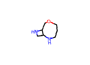 C1CNC2CNC2COC1